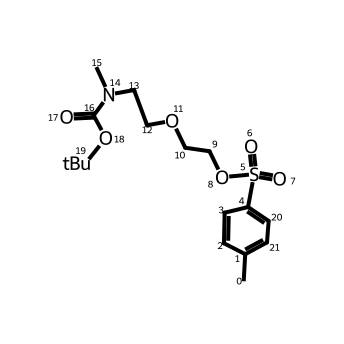 Cc1ccc(S(=O)(=O)OCCOCCN(C)C(=O)OC(C)(C)C)cc1